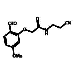 COc1ccc(C=O)c(OCC(=O)NCCC#N)c1